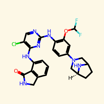 O=C1NCc2cccc(Nc3nc(Nc4ccc(N5CC6CC[C@@H](C5)N6)cc4OC(F)F)ncc3Cl)c21